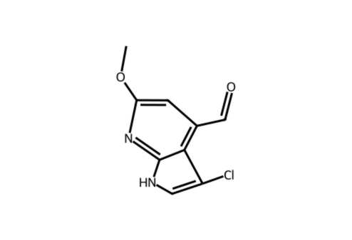 COc1cc(C=O)c2c(Cl)c[nH]c2n1